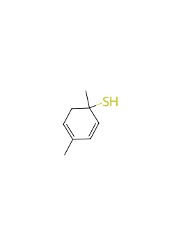 CC1=CCC(C)(S)C=C1